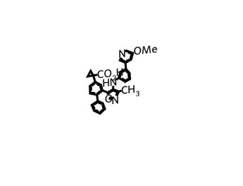 COc1cncc(-c2cccc(Nc3c(C)noc3-c3cc(C4(C(=O)O)CC4)ccc3-c3ccccc3)c2)c1